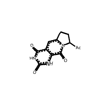 CC(=O)C1CCc2cc3c(=O)[nH]c(=O)[nH]c3c(=O)n21